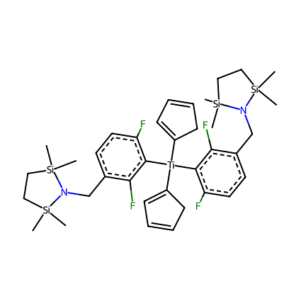 C[Si]1(C)CC[Si](C)(C)N1Cc1ccc(F)[c]([Ti]([C]2=CC=CC2)([C]2=CC=CC2)[c]2c(F)ccc(CN3[Si](C)(C)CC[Si]3(C)C)c2F)c1F